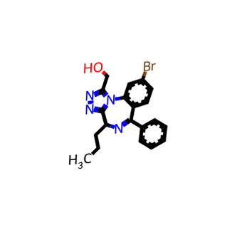 CCCC1N=C(c2ccccc2)c2ccc(Br)cc2-n2c(CO)nnc21